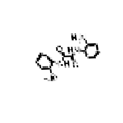 CCOc1ccccc1NC(=O)C(=O)Nc1ccccc1N